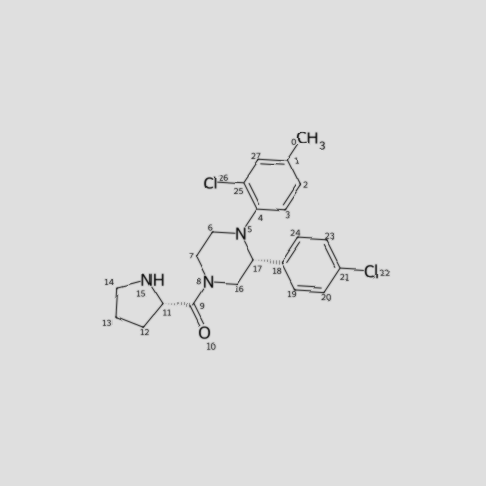 Cc1ccc(N2CCN(C(=O)[C@@H]3CCCN3)C[C@H]2c2ccc(Cl)cc2)c(Cl)c1